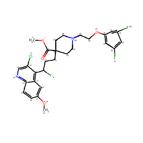 COC(=O)C1(CCC(F)c2c(Cl)cnc3ccc(OC)cc23)CCN(CCOc2cc(F)cc(F)c2)CC1